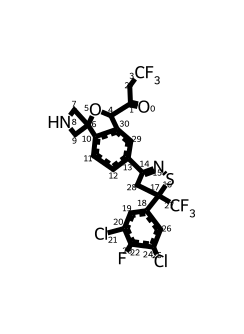 O=C(CC(F)(F)F)C1OC2(CNC2)c2ccc(C3=NSC(c4cc(Cl)c(F)c(Cl)c4)(C(F)(F)F)C3)cc21